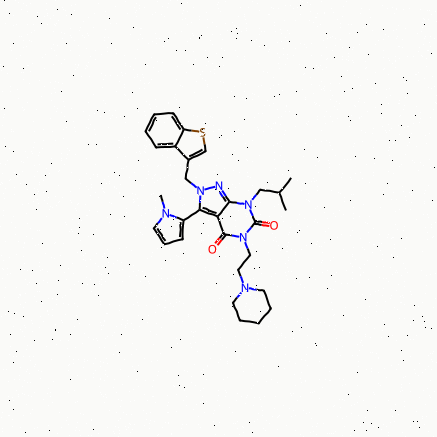 CC(C)Cn1c(=O)n(CCN2CCCCC2)c(=O)c2c(-c3cccn3C)n(Cc3csc4ccccc34)nc21